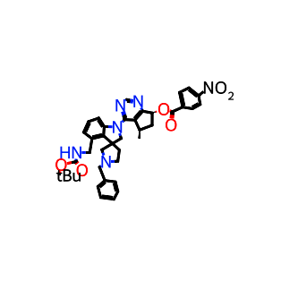 C[C@@H]1C[C@@H](OC(=O)c2ccc([N+](=O)[O-])cc2)c2ncnc(N3CC4(CCN(Cc5ccccc5)C4)c4c(CNC(=O)OC(C)(C)C)cccc43)c21